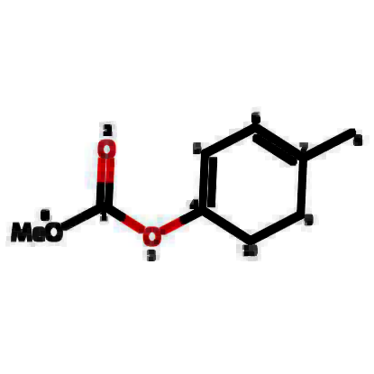 COC(=O)OC1=CC=C(C)CC1